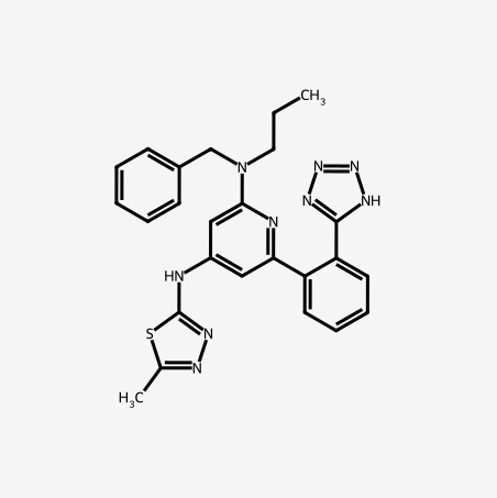 CCCN(Cc1ccccc1)c1cc(Nc2nnc(C)s2)cc(-c2ccccc2-c2nnn[nH]2)n1